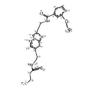 CC(C)Oc1cc(C(=O)NCc2cn3ncc(CNC(=O)CCC(F)(F)F)cc3n2)ccn1